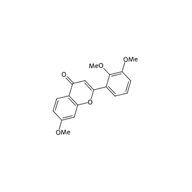 COc1ccc2c(=O)cc(-c3cccc(OC)c3OC)oc2c1